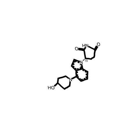 O=C1CC[C@H](n2ccc3c(N4CCC(O)CC4)cccc32)C(=O)N1